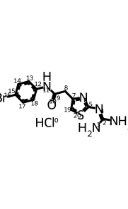 Cl.NC(N)=Nc1nc(CC(=O)Nc2ccc(Br)cc2)cs1